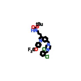 CC(C)(C)OC(=O)NCCCc1cn(-c2ccc(OC(F)(F)F)cc2)c2cc(CN3CCN(Cc4c(Cl)cccc4Cl)CC3)ccc12